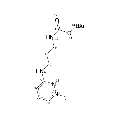 C[n+]1cccc(NCCCNC(=O)OC(C)(C)C)n1